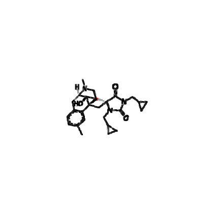 Cc1ccc2c(c1)[C@]13CCN(C)[C@H](C2)[C@]1(O)CC[C@]1(C3)C(=O)N(CC2CC2)C(=O)N1CC1CC1